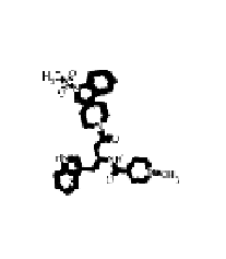 CN1CCC(C(=O)N[C@H](CC(=O)N2CCC3(CC2)CN(S(C)(=O)=O)c2ccccc23)Cc2c[nH]c3ccccc23)CC1